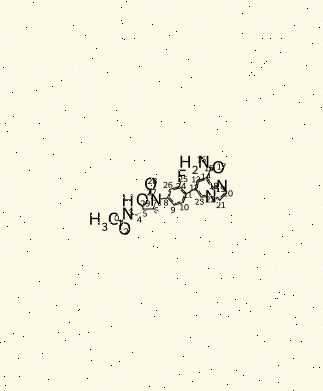 CC(=O)NC[C@H]1CN(c2ccc(-c3cc(C(N)=O)c4nccn4c3)c(F)c2)C(=O)O1